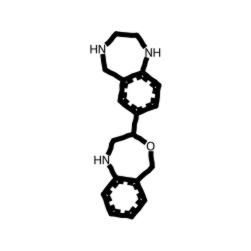 c1ccc2c(c1)COC(c1ccc3c(c1)CNCCN3)CN2